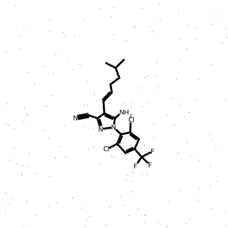 CC(C)CCC=Cc1c(C#N)nn(-c2c(Cl)cc(C(F)(F)F)cc2Cl)c1N